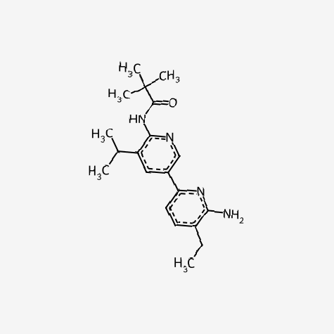 CCc1ccc(-c2cnc(NC(=O)C(C)(C)C)c(C(C)C)c2)nc1N